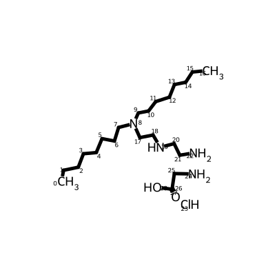 CCCCCCCCN(CCCCCCCC)CCNCCN.Cl.NCC(=O)O